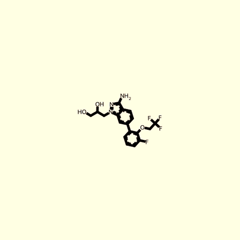 Nc1nn(CC(O)CO)c2cc(-c3cccc(F)c3OCC(F)(F)F)ccc12